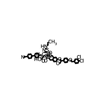 CCCNc1nc(C)c(S(=O)(=O)N2Cc3cc4c(cc3C[C@H]2C(=O)N[C@@H](Cc2ccc(-c3ccc(C#N)cc3)cc2)C(=O)O)OCC(c2ccc(OCc3ccc(Cl)c(Cl)c3)cc2)O4)s1